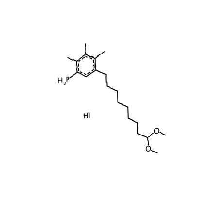 COC(CCCCCCCCc1cc(P)c(C)c(C)c1C)OC.I